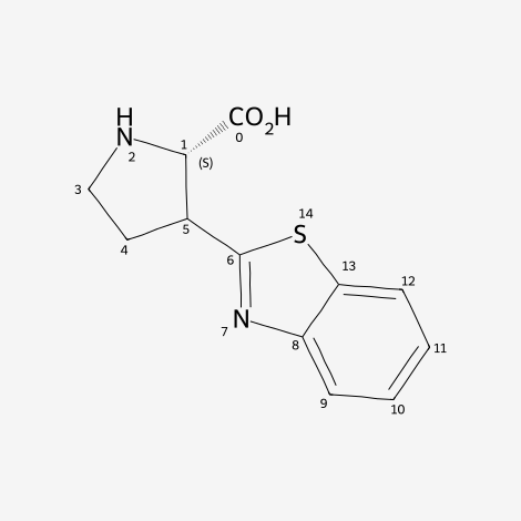 O=C(O)[C@H]1NCCC1c1nc2ccccc2s1